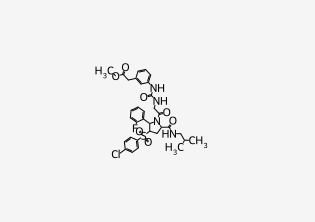 COC(=O)Cc1cccc(NC(=O)NCC(=O)N2C(C(=O)NCC(C)C)CC(S(=O)(=O)c3ccc(Cl)cc3)C2c2ccccc2F)c1